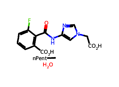 CCCCCC.O.O=C(O)Cn1cnc(NC(=O)c2c(F)cccc2C(=O)O)c1